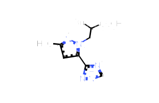 Cc1cc(-c2nc[nH]n2)n(CC(C(=O)O)C(C)(C)C)n1